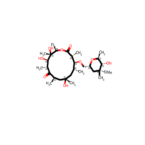 CC[C@H]1OC(=O)[C@H](C)[C@@H](OC[C@H]2C[C@@](C)(OC)[C@@H](O)[C@H](C)O2)[C@H](C)C[C@](C)(O)C[C@@H](C)C(=O)[C@H](C)[C@@H](O)[C@]1(C)O